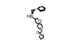 O=C(CN1CCC2(CC1)CC(N[C@@H]1C[C@H]1c1ccccc1)CO2)N1CCCC1